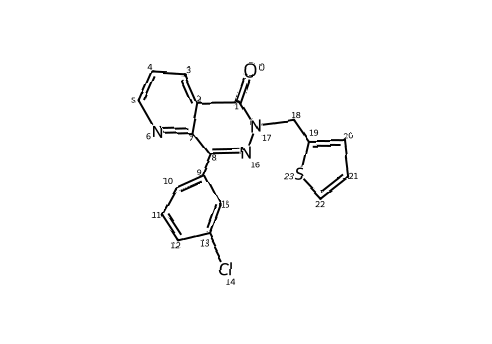 O=c1c2cccnc2c(-c2cccc(Cl)c2)nn1Cc1cccs1